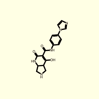 O=C(Nc1ccc(-n2ccnc2)cc1)C1=C(O)C2CNCC2NC1=O